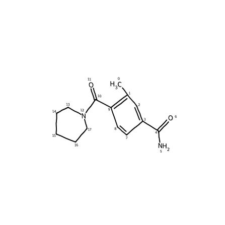 Cc1cc(C(N)=O)ccc1C(=O)N1CCCCC1